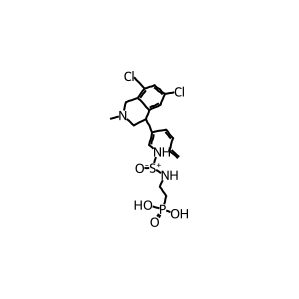 C=C/C=C\C(=C/N[S+]([O-])NCCP(=O)(O)O)C1CN(C)Cc2c(Cl)cc(Cl)cc21